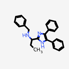 CCC(NCc1ccccc1)c1nc(-c2ccccc2)c(-c2ccccc2)[nH]1